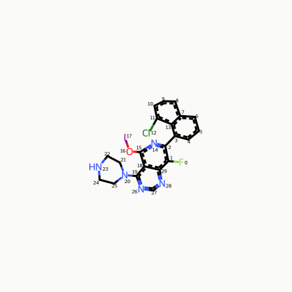 Fc1c(-c2cccc3cccc(Cl)c23)nc(OI)c2c(N3CCNCC3)ncnc12